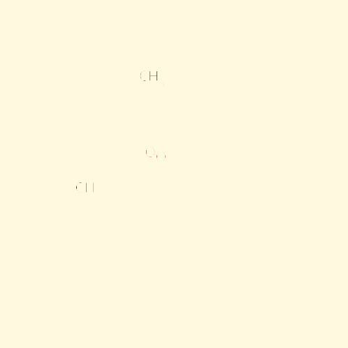 CCC(=O)CC.c1ccc(Oc2ccccc2)cc1